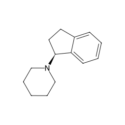 c1ccc2c(c1)CC[C@@H]2N1CCCCC1